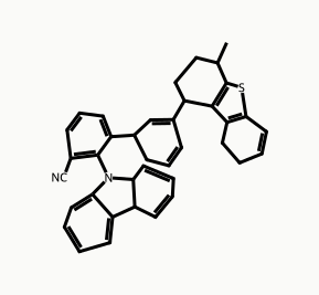 CC1CCC(C2=CC(c3cccc(C#N)c3N3c4ccccc4C4C=CC=CC43)CC=C2)c2c1sc1c2CCC=C1